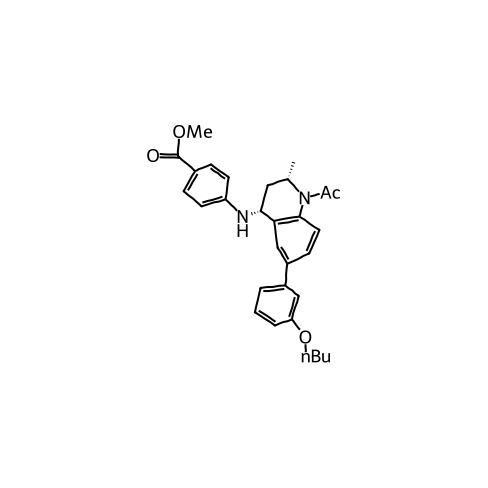 CCCCOc1cccc(-c2ccc3c(c2)[C@H](Nc2ccc(C(=O)OC)cc2)C[C@H](C)N3C(C)=O)c1